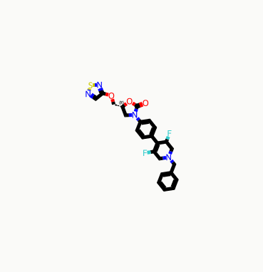 O=C1O[C@@H](COc2cnsn2)CN1c1ccc(C2=C(F)CN(Cc3ccccc3)CC2F)cc1